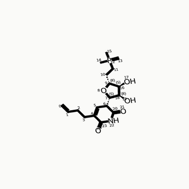 C=CCCC1=CC([C@@H]2O[C@H](CCP(=C)(C)C)[C@@H](O)[C@H]2O)C(=O)NC1=O